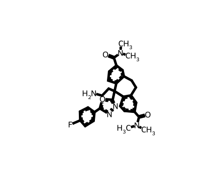 CN(C)C(=O)c1ccc2c(c1)CCc1cc(C(=O)N(C)C)ccc1C2(CCN)c1nnc(-c2ccc(F)cc2)o1